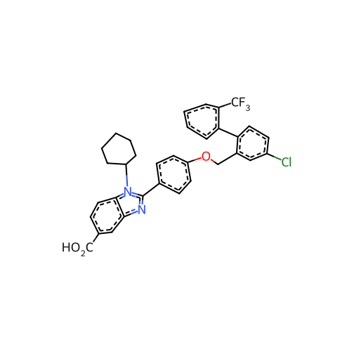 O=C(O)c1ccc2c(c1)nc(-c1ccc(OCc3cc(Cl)ccc3-c3ccccc3C(F)(F)F)cc1)n2C1CCCCC1